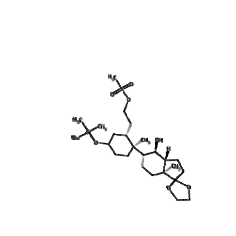 CC(C)(C)[Si](C)(C)OC1CC[C@](C)([C@H]2CC[C@@]3(C)[C@@H](CCC34OCCO4)[C@@H]2O)[C@@H](CCOS(C)(=O)=O)C1